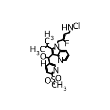 CC(C)c1c(C(O)c2ccc(S(C)(=O)=O)nc2)c2ncccc2n1C/C(F)=C/CNCl